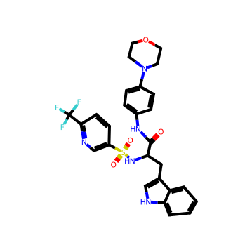 O=C(Nc1ccc(N2CCOCC2)cc1)C(Cc1c[nH]c2ccccc12)NS(=O)(=O)c1ccc(C(F)(F)F)nc1